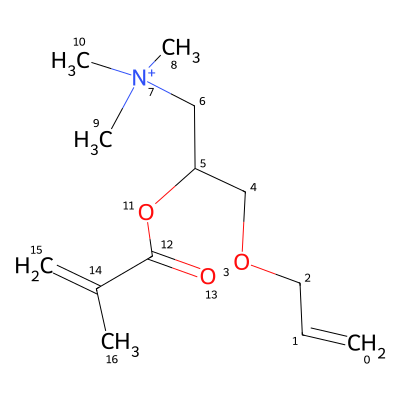 C=CCOCC(C[N+](C)(C)C)OC(=O)C(=C)C